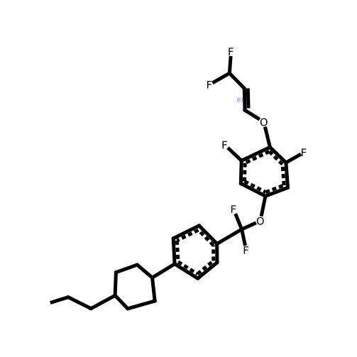 CCCC1CCC(c2ccc(C(F)(F)Oc3cc(F)c(O/C=C/C(F)F)c(F)c3)cc2)CC1